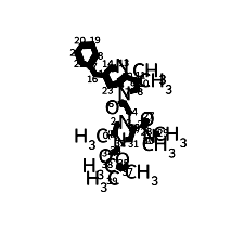 C[C@@H]1CN(CC(=O)N2CC(C)(C)c3ncc(Cc4ccccc4)cc32)[C@@H](C(=O)N(C)C)CN1C(=O)OC(C)(C)C